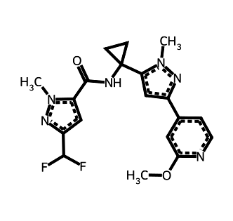 COc1cc(-c2cc(C3(NC(=O)c4cc(C(F)F)nn4C)CC3)n(C)n2)ccn1